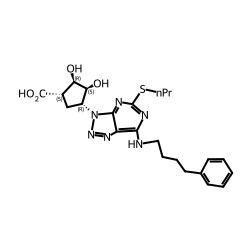 CCCSc1nc(NCCCCc2ccccc2)c2nnn([C@@H]3C[C@H](C(=O)O)[C@@H](O)[C@H]3O)c2n1